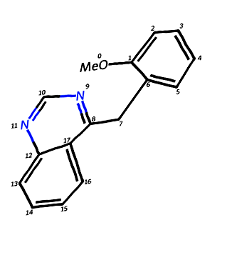 COc1ccccc1Cc1ncnc2ccccc12